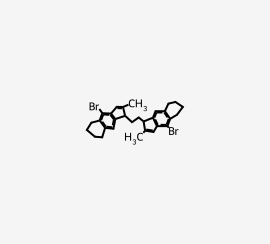 CC1=Cc2c(cc3c(c2Br)CCCC3)C1CCC1C(C)=Cc2c1cc1c(c2Br)CCCC1